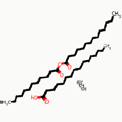 CCCCCCCCCCCCCC(=O)OC(=O)CCCCCCCCCCC.CCCCCCCCCCCCCCCC(=O)O.[KH].[KH].[KH]